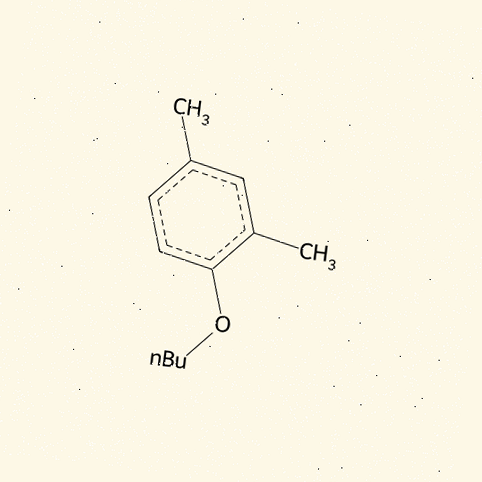 CCCCOc1ccc(C)cc1C